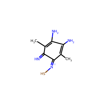 CC1=C(N)C(N)=C(C)/C(=N/S)C1=N